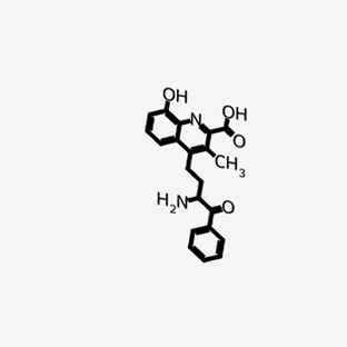 Cc1c(C(=O)O)nc2c(O)cccc2c1CCC(N)C(=O)c1ccccc1